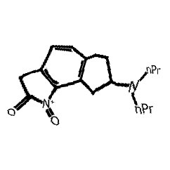 CCCN(CCC)C1Cc2ccc3c(c2C1)[N+](=O)C(=O)C3